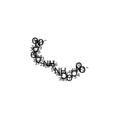 O=[N+]([O-])c1ccc(Oc2ccc(CNCC3CCC3CNCc3ccc(Oc4ccc([N+](=O)[O-])cc4)cc3)cc2)cc1